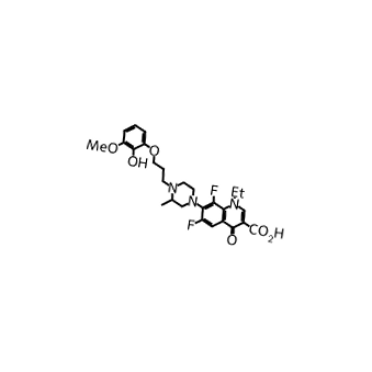 CCn1cc(C(=O)O)c(=O)c2cc(F)c(N3CCN(CCCOc4cccc(OC)c4O)C(C)C3)c(F)c21